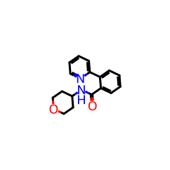 O=C(NC1CCOCC1)c1ccccc1-c1ccccn1